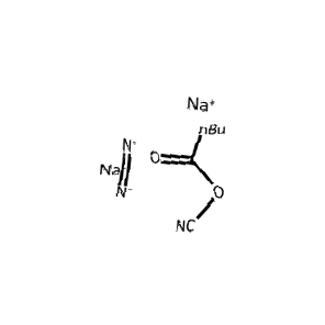 CCCCC(=O)OC#N.[N-]=[N-].[Na+].[Na+]